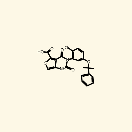 CC(C)(Oc1ccc(Cl)c(-n2c(=O)[nH]c3csc(C(=O)O)c3c2=O)c1)c1ccccc1